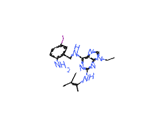 CCn1cnc2c(NCc3cc(I)ccc3N)nc(NC(C)C(C)C)nc21